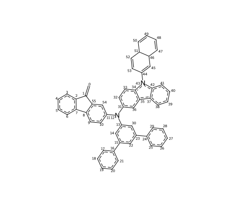 C=C1c2ccccc2-c2ccc(N(c3cc(-c4ccccc4)cc(-c4ccccc4)c3)c3ccc4c(c3)c3ccccc3n4C3=CC4C=CC=CC4C=C3)cc21